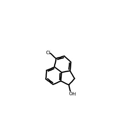 OC1Cc2ccc(Cl)c3cccc1c23